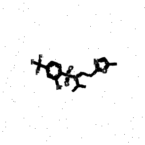 Cc1cnc(CCN(C(C)C)S(=O)(=O)c2ccc(C(F)(F)F)cc2Br)o1